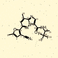 Cc1cc(C#N)c(-c2cc(C)c3ncc(C(=O)NC(C)C(F)(F)F)n3n2)o1